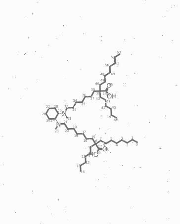 CCCCCCCCC(CCCCCC)(CCCCCCCN(C)[C@@H]1CCCC[C@@H]1N(C)CCCCCCCC(CCCCCC)(CCCCCCCC)C(=O)O)C(=O)O